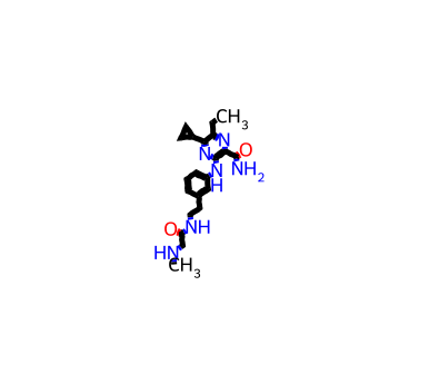 CCc1nc(C(N)=O)c(Nc2cccc(CCNC(=O)CNC)c2)nc1C1CC1